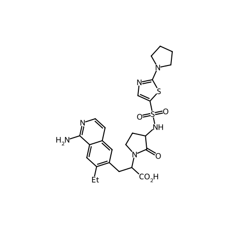 CCc1cc2c(N)nccc2cc1CC(C(=O)O)N1CCC(NS(=O)(=O)c2cnc(N3CCCC3)s2)C1=O